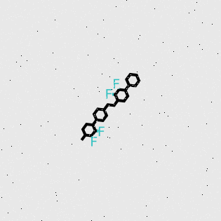 CC1CCC(C2CCC(CCC3CCC(C4CCCCC4)C(F)C3F)CC2)C(F)C1F